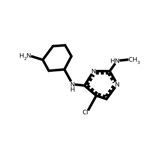 CNc1ncc(Cl)c(NC2CCCC(N)C2)n1